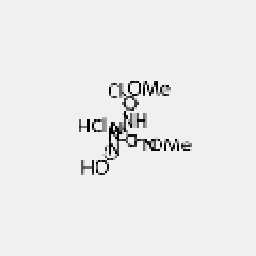 CON=Cc1ccc2c(N3CCC(O)CC3)nnc(NCc3ccc(OC)c(Cl)c3)c2c1.Cl